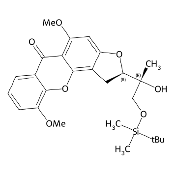 COc1cccc2c(=O)c3c(OC)cc4c(c3oc12)C[C@H]([C@](C)(O)CO[Si](C)(C)C(C)(C)C)O4